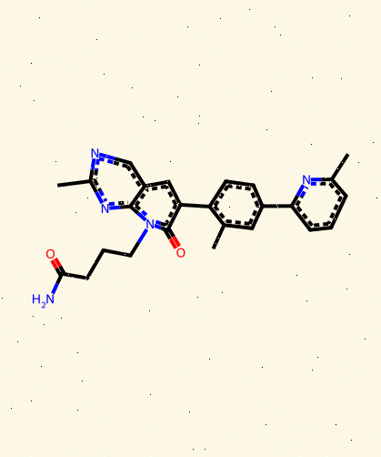 Cc1cccc(-c2ccc(-c3cc4cnc(C)nc4n(CCCC(N)=O)c3=O)c(C)c2)n1